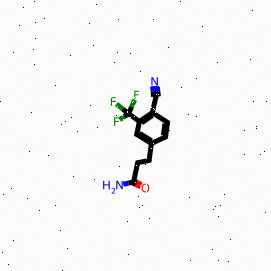 N#Cc1ccc(CCC(N)=O)cc1C(F)(F)F